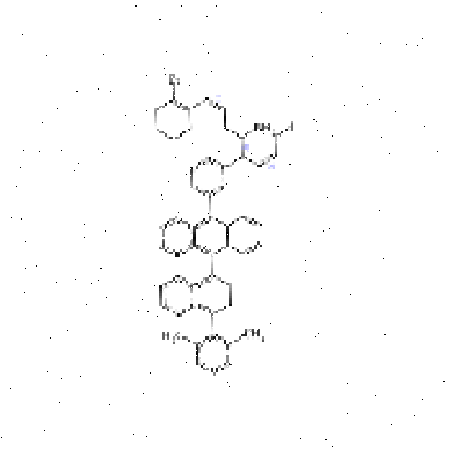 CCC1=C(/C=C\C/C(N)=C(/C=C\CI)c2cccc(C3=c4ccccc4=C(C4=c5ccccc5=C(c5c(C)cccc5C)CC4)C4C=CC=CC34)c2)CCC=C1